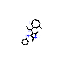 C=c1[nH]c(=C)c(/C(=C/C)C2=C=C(C)C=C=C/C=C\2)c1Nc1ccccc1